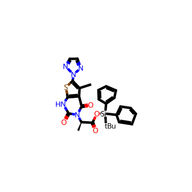 Cc1c(-n2nccn2)sc2[nH]c(=O)n([C@H](C)C(=O)O[Si](c3ccccc3)(c3ccccc3)C(C)(C)C)c(=O)c12